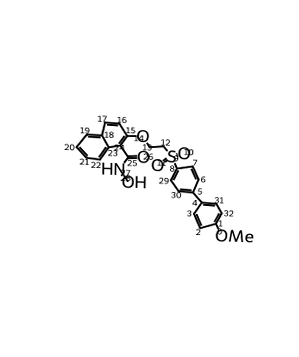 COc1ccc(-c2ccc(S(=O)(=O)CCOc3ccc4ccccc4c3C(=O)NO)cc2)cc1